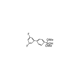 CO[Si](O)(OC)c1ccc(-c2cc(F)cc(F)c2)cc1